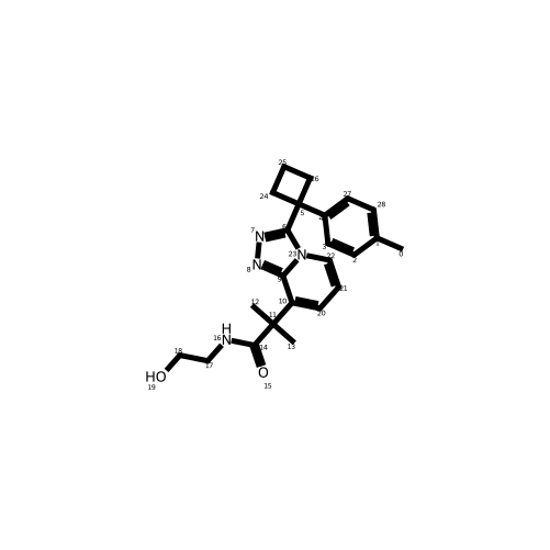 Cc1ccc(C2(c3nnc4c(C(C)(C)C(=O)NCCO)cccn34)CCC2)cc1